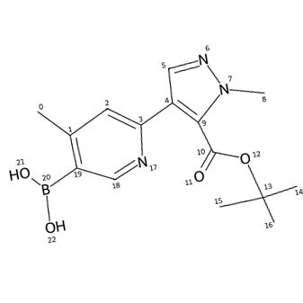 Cc1cc(-c2cnn(C)c2C(=O)OC(C)(C)C)ncc1B(O)O